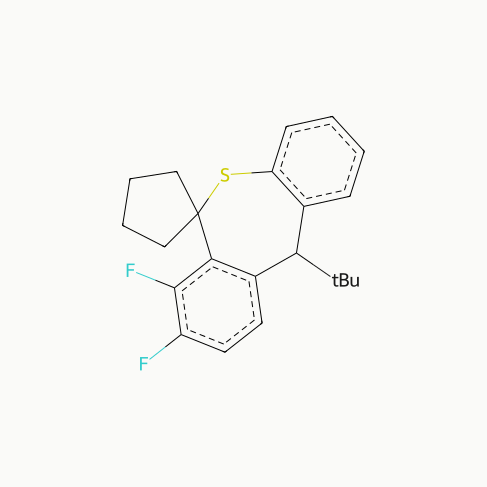 CC(C)(C)C1c2ccccc2SC2(CCCC2)c2c1ccc(F)c2F